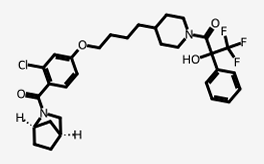 O=C(c1ccc(OCCCCC2CCN(C(=O)C(O)(c3ccccc3)C(F)(F)F)CC2)cc1Cl)N1C[C@H]2CC[C@@H]1C2